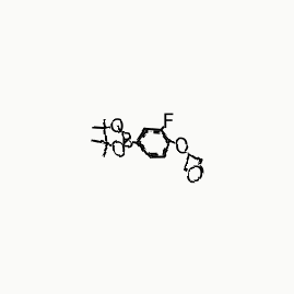 CC1(C)OB(c2ccc(OC3COC3)c(F)c2)OC1(C)C